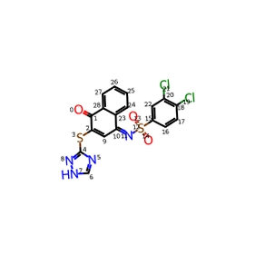 O=C1C(Sc2nc[nH]n2)=C/C(=N/S(=O)(=O)c2ccc(Cl)c(Cl)c2)c2ccccc21